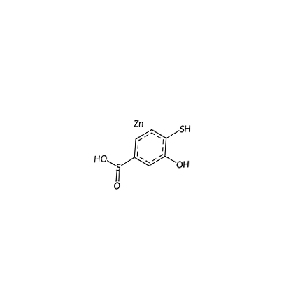 O=S(O)c1ccc(S)c(O)c1.[Zn]